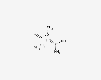 COC(C)=O.N.N=C(N)N